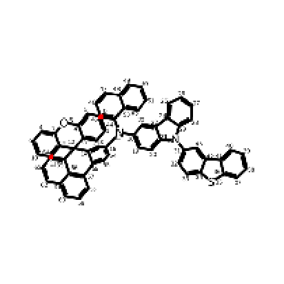 c1ccc2c(c1)Oc1ccccc1C21c2cc(N(c3ccc4c(c3)c3ccccc3n4-c3ccc4sc5ccccc5c4c3)c3cccc4ccccc34)ccc2-c2cccc3cccc1c23